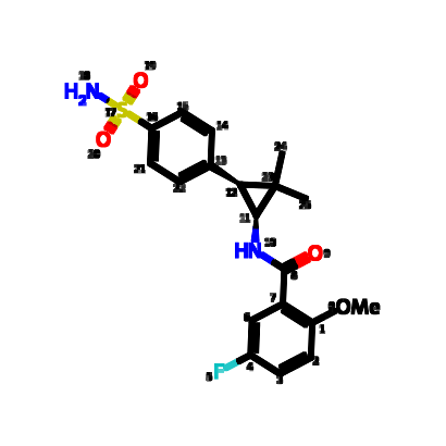 COc1ccc(F)cc1C(=O)N[C@H]1[C@@H](c2ccc(S(N)(=O)=O)cc2)C1(C)C